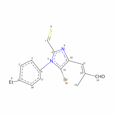 CCc1ccc(-n2c(C=S)nc(C=C(C)C=O)c2Br)cc1